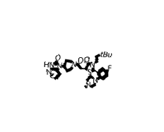 CN1CCN(c2ccc(F)cc2[C@H]2S[C@@H](CC(=O)N3CCC(n4c(=O)[nH]c5ncccc54)CC3)C(=O)N2CCC(C)(C)C)CC1